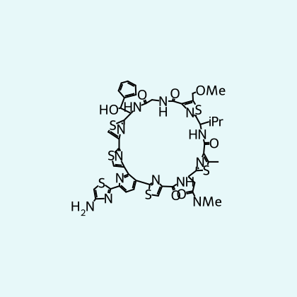 CNC(=O)CC1NC(=O)c2csc(n2)-c2ccc(-c3nc(N)cs3)nc2-c2csc(n2)-c2csc(n2)C(C(O)c2ccccc2)NC(=O)CNC(=O)c2nc(sc2COC)C(C(C)C)NC(=O)c2nc1sc2C